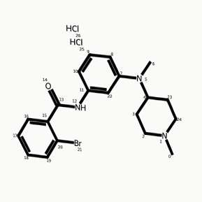 CN1CCC(N(C)c2cccc(NC(=O)c3ccccc3Br)c2)CC1.Cl.Cl